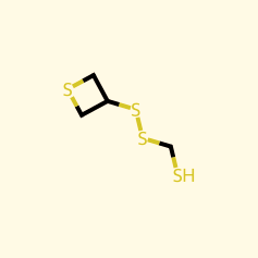 SCSSC1CSC1